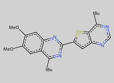 COc1cc2nc(-c3cc4ncnc(C(C)(C)C)c4s3)nc(C(C)(C)C)c2cc1OC